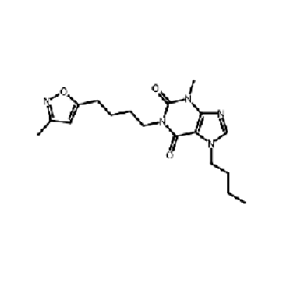 CCCCn1cnc2c1c(=O)n(CCCCc1cc(C)no1)c(=O)n2C